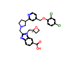 O=C(O)c1ccc2nc(CN3CCC(c4cc(COc5ccc(Cl)cc5Cl)ccn4)C3)n(C[C@@H]3CCO3)c2c1